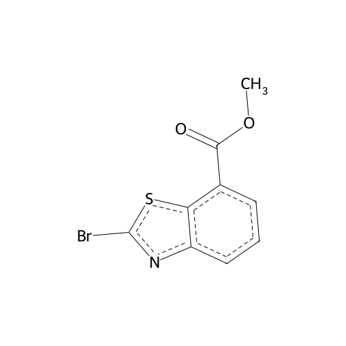 COC(=O)c1cccc2nc(Br)sc12